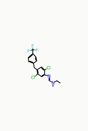 CCN(C)C=Nc1cc(Cl)c(Cc2ccc(C(F)(F)F)cc2)cc1Cl